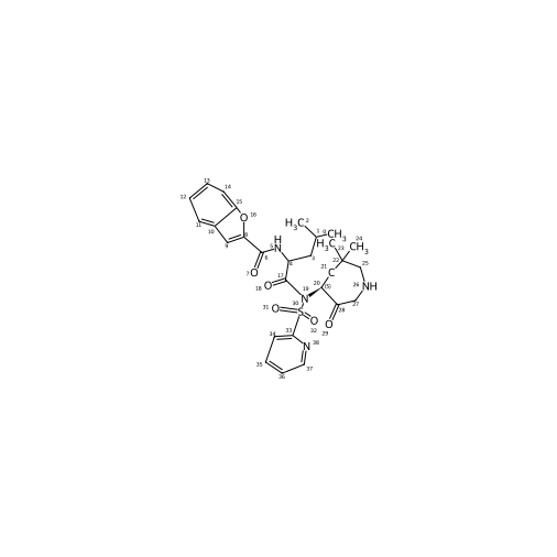 CC(C)CC(NC(=O)c1cc2ccccc2o1)C(=O)N([C@H]1CC(C)(C)CNCC1=O)S(=O)(=O)c1ccccn1